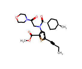 CCC#Cc1cc(N(CC(=O)N2CCOCC2)C(=O)[C@H]2CC[C@H](C)CC2)c(C(=O)OC)s1